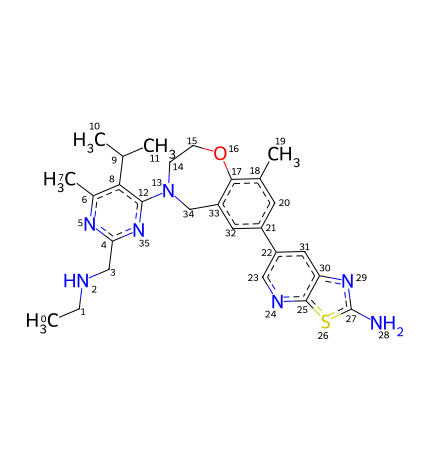 CCNCc1nc(C)c(C(C)C)c(N2CCOc3c(C)cc(-c4cnc5sc(N)nc5c4)cc3C2)n1